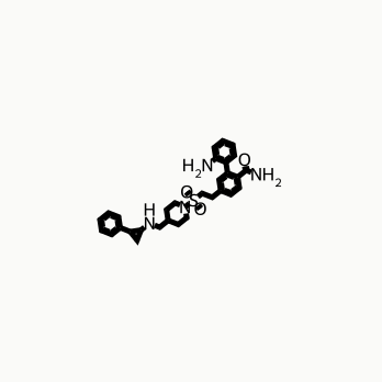 NC(=O)c1ccc(CCS(=O)(=O)N2CCC(CNC3CC3c3ccccc3)CC2)cc1-c1ccccc1N